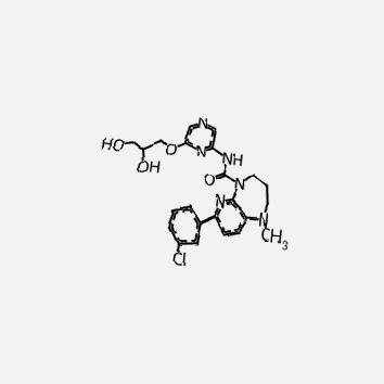 CN1CCCN(C(=O)Nc2cncc(OCC(O)CO)n2)c2nc(-c3cccc(Cl)c3)ccc21